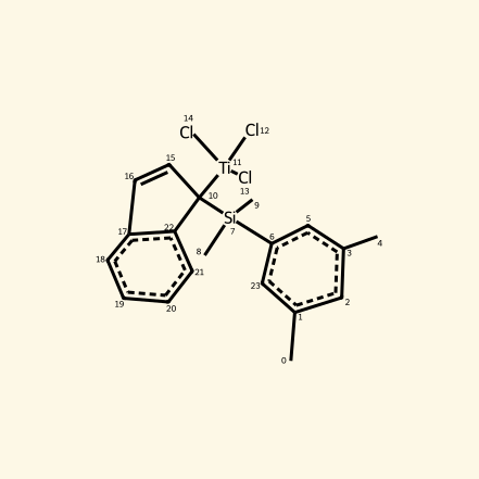 Cc1cc(C)cc([Si](C)(C)[C]2([Ti]([Cl])([Cl])[Cl])C=Cc3ccccc32)c1